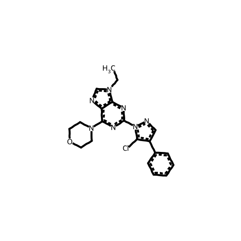 CCn1cnc2c(N3CCOCC3)nc(-n3ncc(-c4ccccc4)c3Cl)nc21